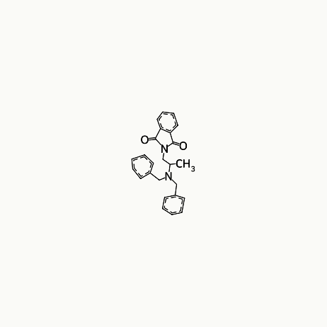 CC(CN1C(=O)c2ccccc2C1=O)N(Cc1ccccc1)Cc1ccccc1